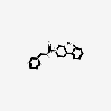 CSc1ccccc1C1CCN(C(=O)OCc2ccccc2)CC1